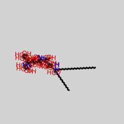 CCCCCCCCCCCCC/C=C/[C@@H](O)[C@H](CO[C@@H]1OC(CO)[C@@H](O[C@@H]2OC(CO)[C@H](O)[C@H](O[C@@H]3OC(CO)[C@@H](O[C@@H]4OC(CO)[C@H](O)[C@H](O[C@@H]5OC(CO)[C@@H](O[C@H]6OC(C)[C@@H](O)C(O)[C@@H]6O)[C@H](O[C@@H]6OC(CO)[C@H](O)[C@H](O)C6O)C5NC(C)=O)C4O)[C@H](O)C3NC(C)=O)C2O)[C@H](O)C1O)NC(=O)CCCCCCCCCCCCCCCCCCCCCCCCC